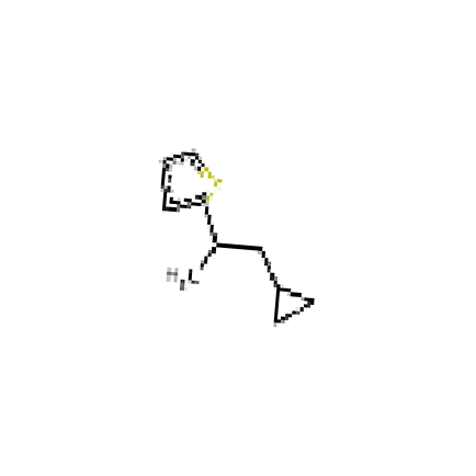 CC(CC1CC1)c1cccs1